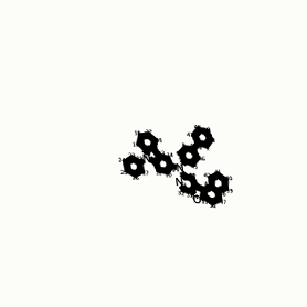 c1ccc(-c2ccc(N(c3ccc4c(c3)c3ccccc3n4-c3ccccc3)c3cc4c(cn3)oc3ccc5ccccc5c34)cc2)cc1